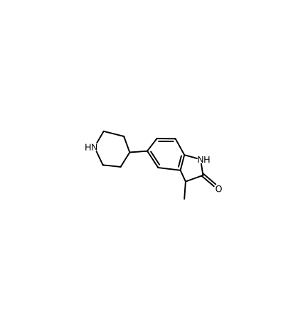 CC1C(=O)Nc2ccc(C3CCNCC3)cc21